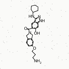 NCCCOc1ccc2c(c1)CN(C(=O)c1cc3c(NC4CCCCC4)n[nH]c3cc1O)C2